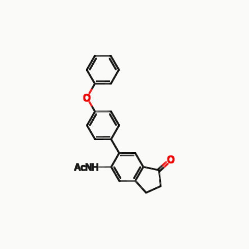 CC(=O)Nc1cc2c(cc1-c1ccc(Oc3ccccc3)cc1)C(=O)CC2